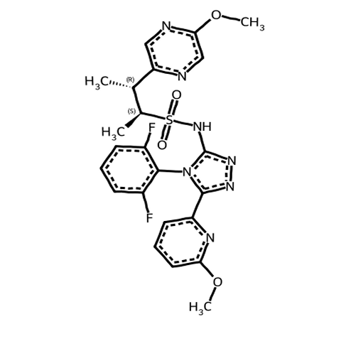 COc1cnc([C@@H](C)[C@H](C)S(=O)(=O)Nc2nnc(-c3cccc(OC)n3)n2-c2c(F)cccc2F)cn1